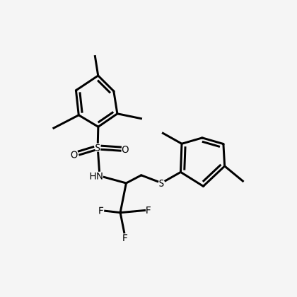 Cc1cc(C)c(S(=O)(=O)NC(CSc2cc(C)ccc2C)C(F)(F)F)c(C)c1